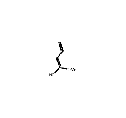 C=CC=C(C#N)OC